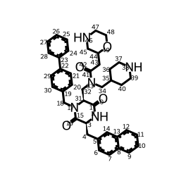 O=C1N[C@@H](Cc2ccc3ccccc3c2)C(=O)N(Cc2ccc(-c3ccccc3)cc2)[C@H]1CN(CC1CCNCC1)C(=O)CC1CNCCO1